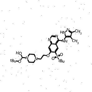 Cc1n[nH]c(Nc2ncnc3cc(OCCN4CCN(C(O)OC(C)(C)C)CC4)c(S(=O)(=O)C(C)(C)C)cc23)c1C